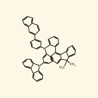 CC1(C)c2ccccc2-c2c(-c3ccccc3N(c3cccc(-c4ccc5ccccc5c4)c3)c3cccc(-n4c5ccccc5c5ccccc54)c3)cccc21